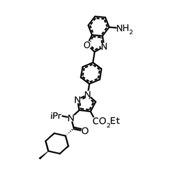 CCOC(=O)c1cn(-c2ccc(-c3nc4c(N)cccc4o3)cc2)nc1N(C(=O)[C@H]1CC[C@H](C)CC1)C(C)C